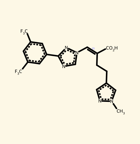 Cn1cc(CC/C(=C\n2cnc(-c3cc(C(F)(F)F)cc(C(F)(F)F)c3)n2)C(=O)O)cn1